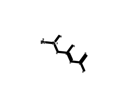 C=C(C)/C=C(\C)CN(C)C(C)C